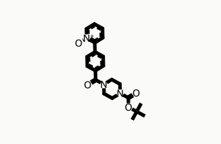 CC(C)(C)OC(=O)N1CCN(C(=O)c2ccc(-c3cccc[n+]3[O-])cc2)CC1